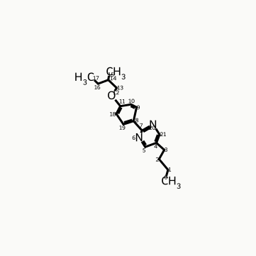 CCCCc1cnc(-c2ccc(OCC(C)CC)cc2)nc1